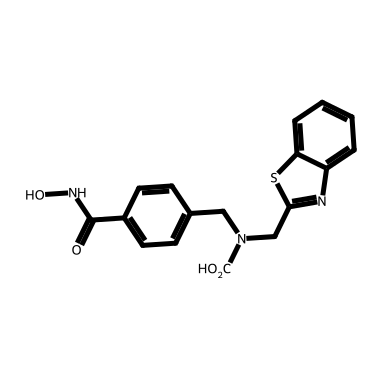 O=C(NO)c1ccc(CN(Cc2nc3ccccc3s2)C(=O)O)cc1